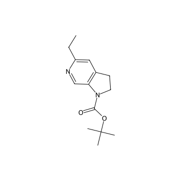 CCc1cc2c(cn1)N(C(=O)OC(C)(C)C)CC2